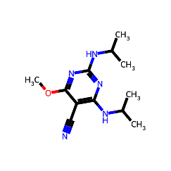 COc1nc(NC(C)C)nc(NC(C)C)c1C#N